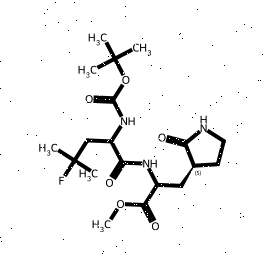 COC(=O)C(C[C@@H]1CCNC1=O)NC(=O)C(CC(C)(C)F)NC(=O)OC(C)(C)C